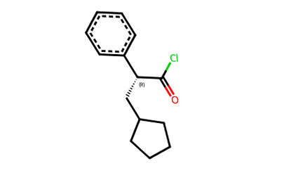 O=C(Cl)[C@H](CC1CCCC1)c1ccccc1